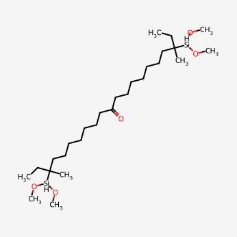 CCC(C)(CCCCCCCC(=O)CCCCCCCC(C)(CC)[SiH](OC)OC)[SiH](OC)OC